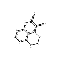 O=c1[nH]c2cccc3c2n(c1=O)CCO3